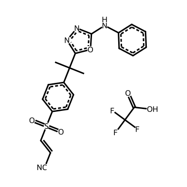 CC(C)(c1ccc(S(=O)(=O)/C=C/C#N)cc1)c1nnc(Nc2ccccc2)o1.O=C(O)C(F)(F)F